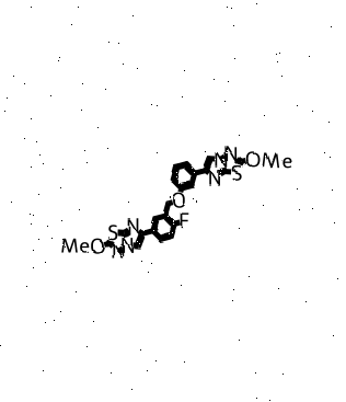 COc1nn2cc(-c3cccc(OCc4cc(-c5cn6nc(OC)sc6n5)ccc4F)c3)nc2s1